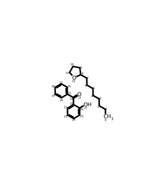 CCCCCCCCC1CCCO1.O=C(c1ccccc1)c1ccccc1O